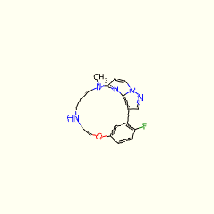 CN1CCCNCCOc2ccc(F)c(c2)-c2cnn3ccc1nc23